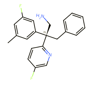 Cc1cc(F)cc([C@](CN)(Cc2ccccc2)c2ccc(F)cn2)c1